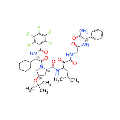 CC(C)CC(NC(=O)[C@@H]1C[C@@H](OC(C)(C)C)CN1C(=O)[C@@H](NC(=O)c1c(F)c(F)c(F)c(F)c1F)C1CCCCC1)C(=O)C(=O)NCC(=O)N[C@H](C(N)=O)c1ccccc1